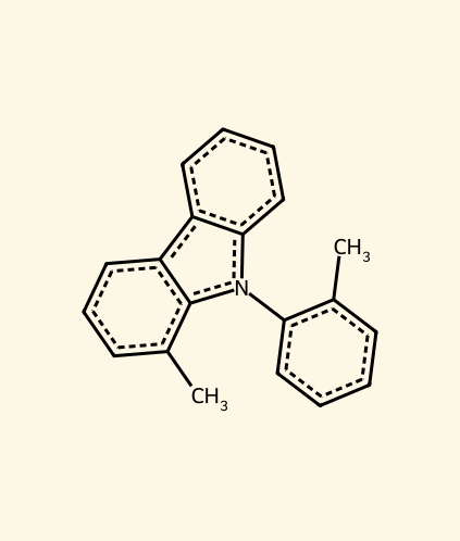 Cc1ccccc1-n1c2ccccc2c2cccc(C)c21